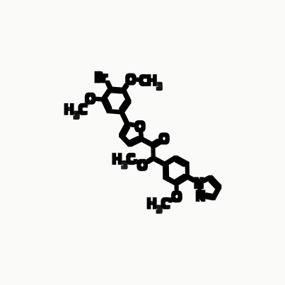 COc1cc(C(OC)C(=O)c2ccc(-c3cc(OC)c(Br)c(OC)c3)o2)ccc1-n1cccn1